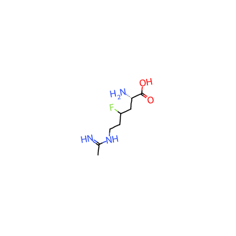 CC(=N)NCCC(F)C[C@H](N)C(=O)O